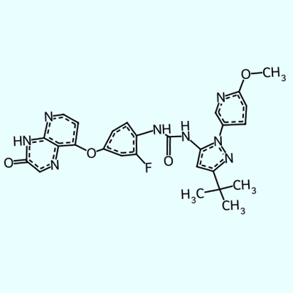 COc1ccc(-n2nc(C(C)(C)C)cc2NC(=O)Nc2ccc(Oc3ccnc4[nH]c(=O)cnc34)cc2F)cn1